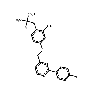 Cc1cc(SCc2ccnc(-c3ccc(F)cc3)n2)ccc1OC(C)(C)C(=O)O